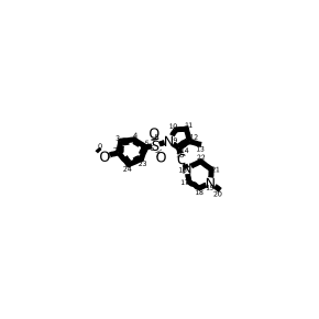 COc1ccc(S(=O)(=O)N2CCC(C)=C2CN2CCN(C)CC2)cc1